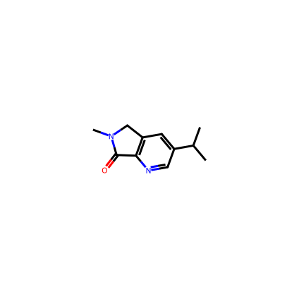 CC(C)c1cnc2c(c1)CN(C)C2=O